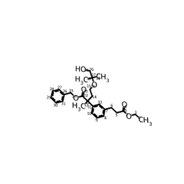 CCOC(=O)CCc1cccc(C(C)(CCOC(C)(C)CO)C(=O)OCc2ccccc2)c1